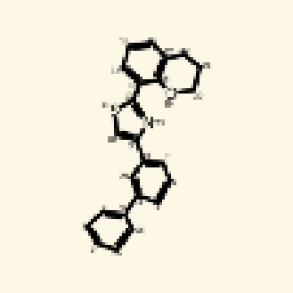 c1ccc(-c2cccc(-c3csc(-c4cccc5c4OCCC5)n3)c2)cc1